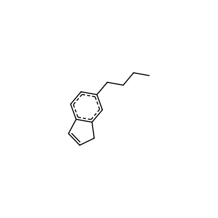 CCCCc1ccc2c(c1)CC=C2